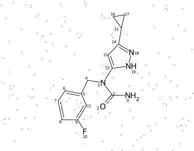 NC(=O)N(Cc1cccc(F)c1)c1cc(C2CC2)n[nH]1